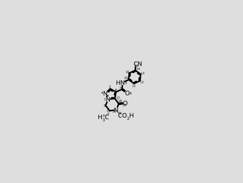 C[C@@H]1Cn2ncc(C(=O)Nc3cccc(C#N)c3)c2C(=O)N1C(=O)O